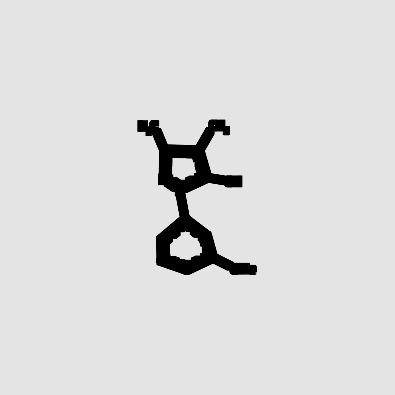 COc1cccc(-n2nc(C)c(C)c2O)c1